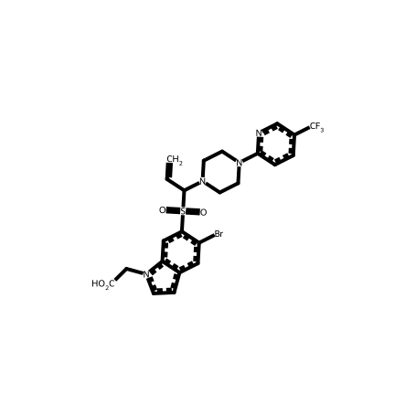 C=CC(N1CCN(c2ccc(C(F)(F)F)cn2)CC1)S(=O)(=O)c1cc2c(ccn2CC(=O)O)cc1Br